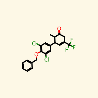 CC1C(=O)CC(C(F)(F)F)=CC1c1cc(Cl)c(OCc2ccccc2)c(Cl)c1